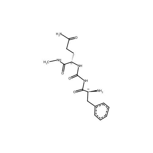 CNC(=O)[C@H](CCC(N)=O)NC(=O)NC(=O)[C@@H](N)Cc1ccccc1